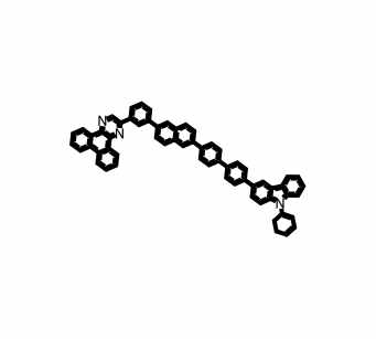 C1=CCCC(n2c3ccccc3c3cc(-c4ccc(-c5ccc(-c6ccc7cc(-c8cccc(-c9cnc%10c%11ccccc%11c%11ccccc%11c%10n9)c8)ccc7c6)cc5)cc4)ccc32)=C1